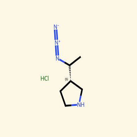 CC(N=[N+]=[N-])[C@H]1CCNC1.Cl